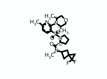 Cc1ccc(S(=O)(=O)N2CCC[C@H]2C(=O)N(C)C2CC3(C2)CC3(F)F)c(N2[C@@H](C)COC[C@@H]2C)n1